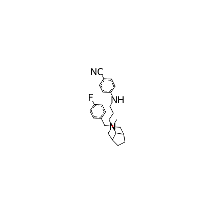 CN(Cc1ccc(F)cc1)C1C2CCC1CN(CCCNc1ccc(C#N)cc1)C2